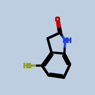 O=C1Cc2c(S)cccc2N1